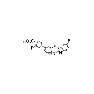 O=C(O)c1ccc(-c2ccc(Nc3nc4ccc(F)cc4s3)c(F)c2)cc1F